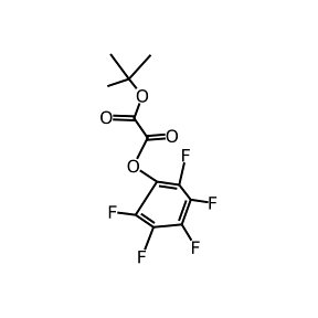 CC(C)(C)OC(=O)C(=O)Oc1c(F)c(F)c(F)c(F)c1F